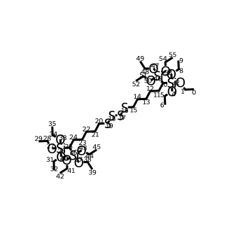 CCO[Si](OCC)(OCC)C(CCCCCSSSSCCCCCC([Si](OCC)(OCC)OCC)[Si](OCC)(OCC)OCC)[Si](OCC)(OCC)OCC